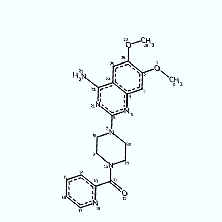 COc1cc2nc(N3CCN(C(=O)c4ccccn4)CC3)nc(N)c2cc1OC